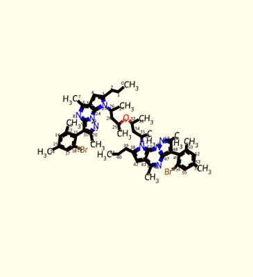 CCCc1cc2c(C)nc3c(-c4c(C)cc(C)cc4Br)c(C)nn3c2n1C(C)CC(C)OC(C)CC(C)n1c(CCC)cc2c(C)nc3c(-c4c(C)cc(C)cc4Br)c(C)nn3c21